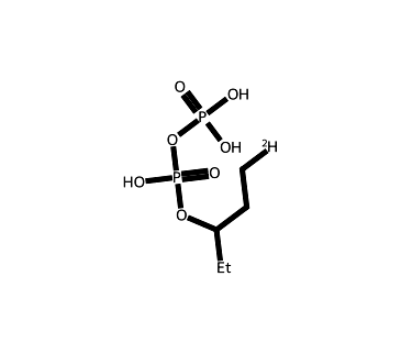 [2H]CCC(CC)OP(=O)(O)OP(=O)(O)O